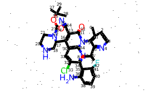 Cc1ccnc(C(C)C)c1-n1c(=O)c(C#N)c(C2CNCCN2C(=O)OC(C)(C)C)c2cc(Cl)c(-c3c(N)cccc3F)nc21